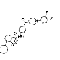 C/C=N\c1c(C2CCCCCC2)cccc1S(=O)(=O)Nc1ccc(C(=O)N2CCN(c3ccc(F)c(F)c3)CC2)cc1